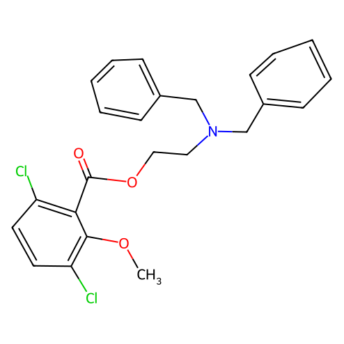 COc1c(Cl)ccc(Cl)c1C(=O)OCCN(Cc1ccccc1)Cc1ccccc1